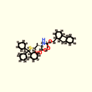 O=C(N[C@@H](CCSC(c1ccccc1)(c1ccccc1)c1ccccc1)C(=O)O)OCc1cccc2c1Cc1ccccc1-2